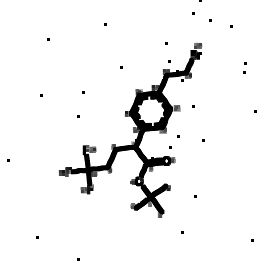 CC(C)(C)OC(=O)C(CCC(F)(F)F)c1ccc(CCBr)cc1